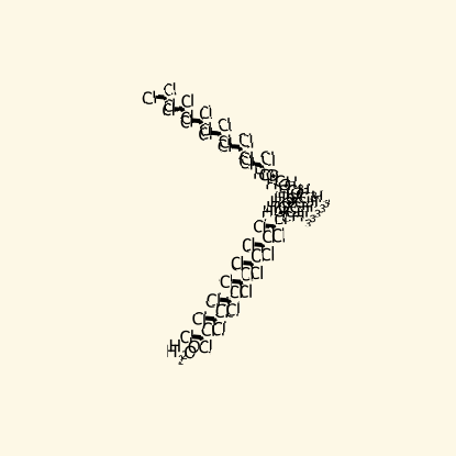 CO.CO.CO.CO.CO.CO.CO.ClC(Cl)Cl.ClC(Cl)Cl.ClC(Cl)Cl.ClC(Cl)Cl.ClC(Cl)Cl.ClC(Cl)Cl.ClC(Cl)Cl.ClC(Cl)Cl.ClC(Cl)Cl.ClC(Cl)Cl.ClC(Cl)Cl.ClC(Cl)Cl.ClC(Cl)Cl.O.O